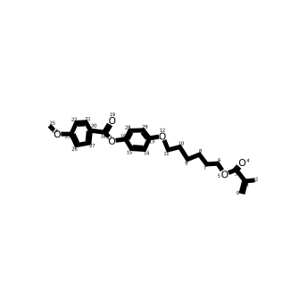 C=C(C)C(=O)OCCCCCCOc1ccc(OC(=O)c2ccc(OC)cc2)cc1